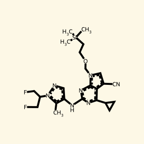 Cc1c(Nc2nc(C3CC3)c3c(C#N)cn(COCC[Si](C)(C)C)c3n2)cnn1C(CF)CF